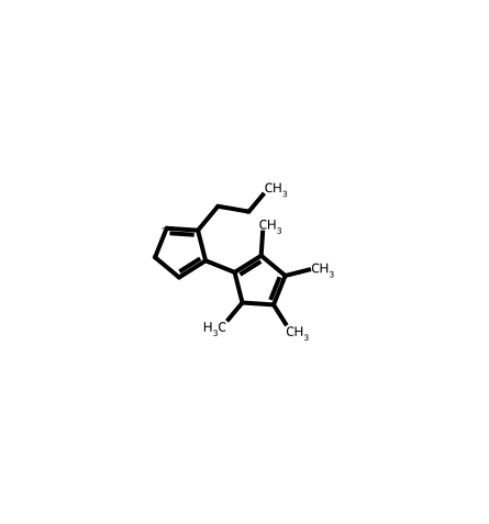 CCCC1=[C]CC=C1C1=C(C)C(C)=C(C)C1C